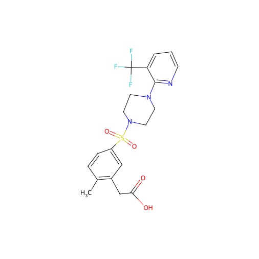 Cc1ccc(S(=O)(=O)N2CCN(c3ncccc3C(F)(F)F)CC2)cc1CC(=O)O